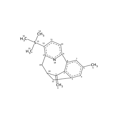 C=C1c2c3cc(C)cc2-c2ccc(S(C)(C)C)c(n2)CC1C3